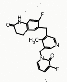 Cc1c(Cc2cc3c(cc2F)NC(=O)CC3)cncc1Cn1cccc(F)c1=O